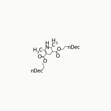 CCCCCCCCCCCCOC(=O)C1=C(C)NC(C)C(C(=O)OCCCCCCCCCCCC)C1